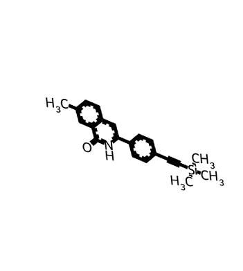 Cc1ccc2cc(-c3ccc(C#C[Si](C)(C)C)cc3)[nH]c(=O)c2c1